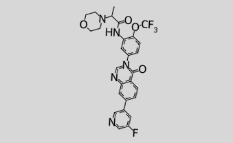 CC(C(=O)Nc1cc(-n2cnc3cc(-c4cncc(F)c4)ccc3c2=O)ccc1OC(F)(F)F)N1CCOCC1